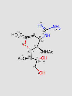 CC(=O)N[C@H]1[C@H]([C@H](OC(C)=O)[C@H](O)CO)OC(C(=O)O)=C[C@@H]1NC(=N)N